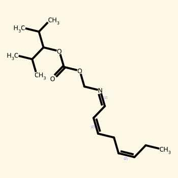 CC/C=C\C/C=C\C=N/COC(=O)OC(C(C)C)C(C)C